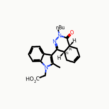 CCCCN1N=C(c2c(C)n(CC(=O)O)c3ccccc23)[C@H]2CC=CC[C@H]2C1=O